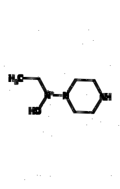 CC[N+](O)N1CCNCC1